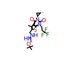 Cc1c(CNNCOC(C)(C)C)sc2c1c(=O)n([C@H]1C[C@@H]1C)c(=O)n2CCC(F)(F)F